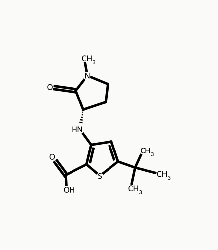 CN1CC[C@H](Nc2cc(C(C)(C)C)sc2C(=O)O)C1=O